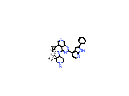 CN(c1nc(-c2ccnc3[nH]c(-c4ccccc4)cc23)nc2cncc(C3CC3)c12)C1CCNCC1(C)C